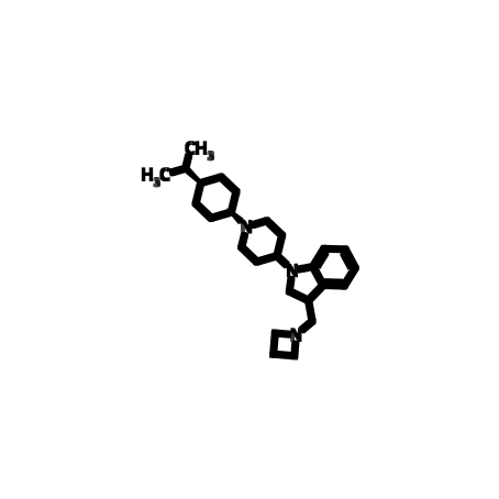 CC(C)[C@H]1CC[C@@H](N2CCC(N3CC(CN4CCC4)c4ccccc43)CC2)CC1